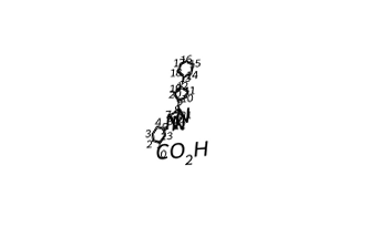 O=C(O)c1cccc(-n2cc(-c3ccc(-c4ccccc4)cc3)nn2)c1